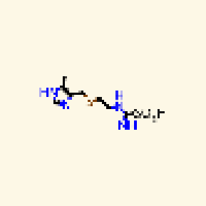 Cc1[nH]cnc1CSCCNC(=N)S(=O)(=O)O